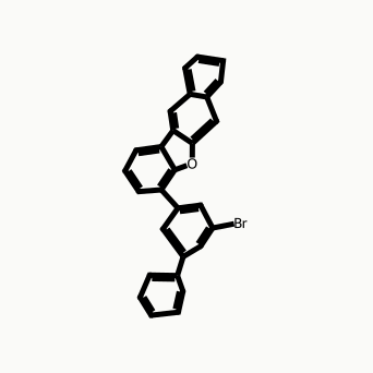 Brc1cc(-c2ccccc2)cc(-c2cccc3c2oc2cc4ccccc4cc23)c1